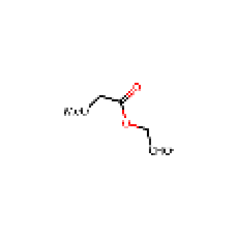 COCC(=O)OC[C]=O